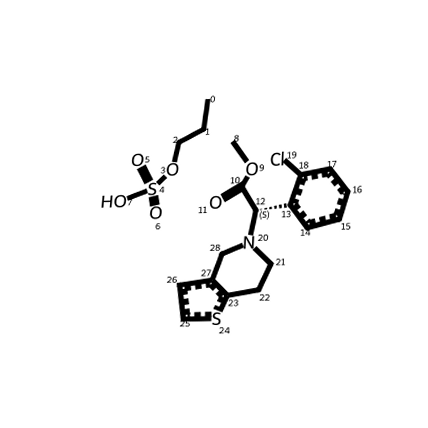 CCCOS(=O)(=O)O.COC(=O)[C@H](c1ccccc1Cl)N1CCc2sccc2C1